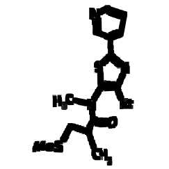 CCc1nc(-c2cccnc2)sc1N(C)C(=O)C(C)CSC